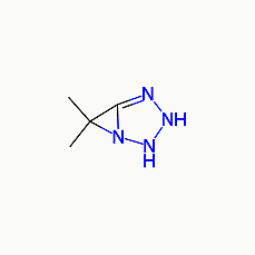 CC1(C)C2=NNNN21